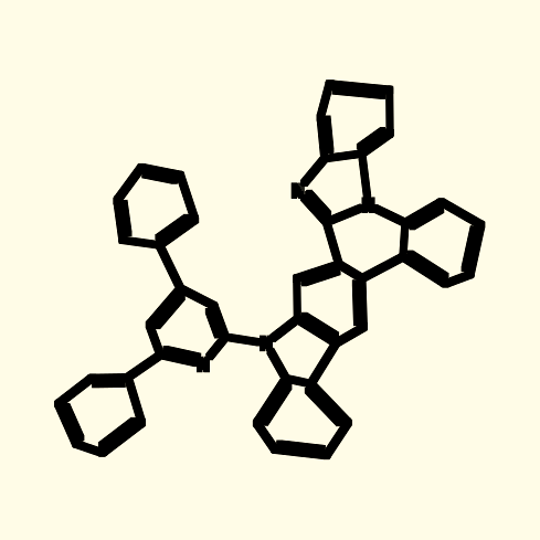 c1ccc(-c2cc(-c3ccccc3)nc(-n3c4ccccc4c4cc5c6ccccc6n6c7ccccc7nc6c5cc43)c2)cc1